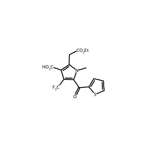 CCOC(=O)Cc1c(C(=O)O)c(C(F)(F)F)c(C(=O)c2cccs2)n1C